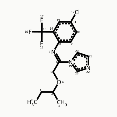 CCC(C)OCC(=Nc1ccc(Cl)cc1C(F)(F)F)n1ccnc1